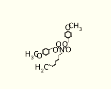 C=C/C=C\C=C\CCN(C(=O)OCc1ccc(OC)cc1)C(=O)OCc1ccc(OC)cc1